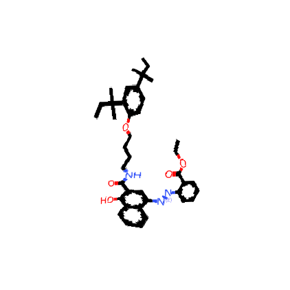 CCOC(=O)c1ccccc1/N=N/c1cc(C(=O)NCCCCOc2ccc(C(C)(C)CC)cc2C(C)(C)CC)c(O)c2ccccc12